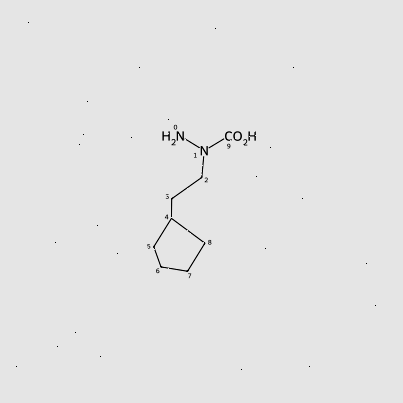 NN(CCC1CCCC1)C(=O)O